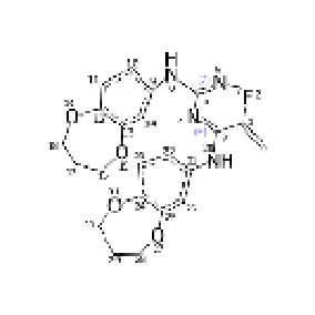 C=C(F)/C(=N\C(=N/C)Nc1ccc2c(c1)OCCCO2)Nc1ccc2c(c1)OCCCO2